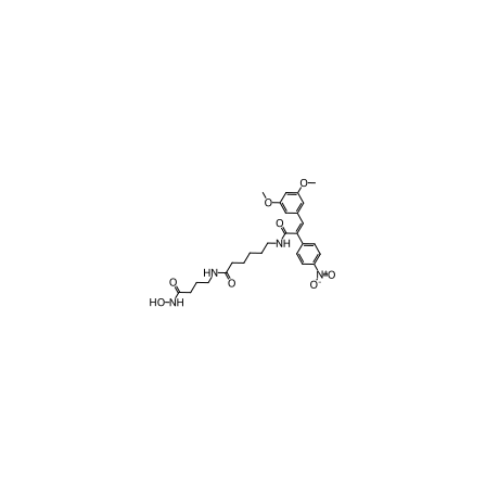 COc1cc(/C=C(\C(=O)NCCCCCC(=O)NCCCC(=O)NO)c2ccc([N+](=O)[O-])cc2)cc(OC)c1